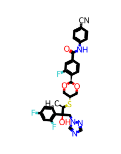 C[C@@H](S[C@H]1CO[C@H](c2ccc(C(=O)Nc3ccc(C#N)cc3)cc2F)OC1)[C@](O)(Cn1cncn1)c1ccc(F)cc1F